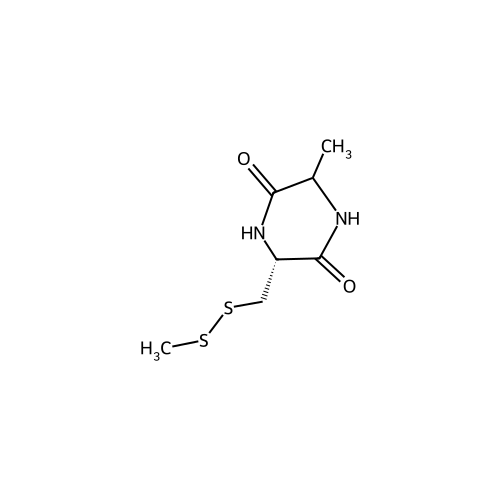 CSSC[C@@H]1NC(=O)C(C)NC1=O